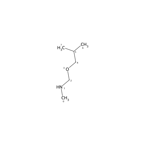 CNCOCC(C)C